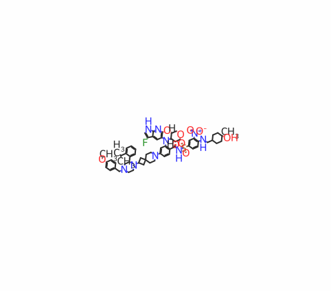 COc1ccc(CN2CCN(C3CC4(CCN(c5ccc(C(=O)NS(=O)(=O)c6ccc(NCC7CCC(C)(O)CC7)c([N+](=O)[O-])c6)c(N6c7cc8c(F)c[nH]c8nc7O[C@H]7COCC[C@@H]76)c5)CC4)C3)[C@H](c3ccccc3C(C)C)C2)cc1